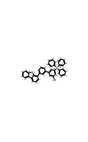 Brc1cc(-c2cccc(-c3cccc4c3sc3ccccc34)c2)cc([Si](c2ccccc2)(c2ccccc2)c2ccccc2)c1